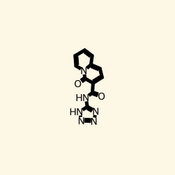 O=C(Nc1nnn[nH]1)c1ccc2ccccn2c1=O